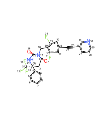 O=C1C[C@](c2ccccc2)(C(F)(F)F)NC(=O)N1Cc1c(F)cc(C#Cc2cccnc2)cc1F